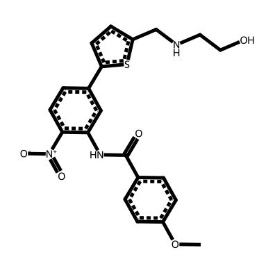 COc1ccc(C(=O)Nc2cc(-c3ccc(CNCCO)s3)ccc2[N+](=O)[O-])cc1